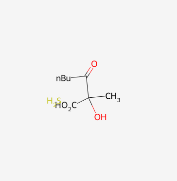 CCCCC(=O)C(C)(O)C(=O)O.S